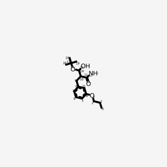 CCCOc1cccc(CC(C([NH])=O)C(O)OC(C)(C)C)c1